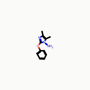 Cc1nc(Oc2ccccc2)n(N)c1C